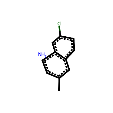 Cc1ccc2cc(Cl)ccc2c1.N